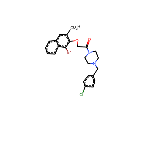 O=C(O)c1cc2ccccc2c(Br)c1OCC(=O)N1CCN(Cc2ccc(Cl)cc2)CC1